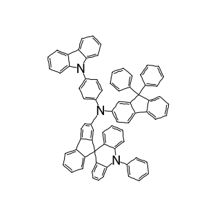 c1ccc(N2c3ccccc3C3(c4ccccc4-c4ccc(N(c5ccc(-n6c7ccccc7c7ccccc76)cc5)c5ccc6c(c5)C(c5ccccc5)(c5ccccc5)c5ccccc5-6)cc43)c3ccccc32)cc1